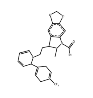 CCC(=O)N1c2cc3c(cc2C(CCN2C=CC=CC2C2=CCC(C(F)(F)F)=CC2)C1C)OCO3